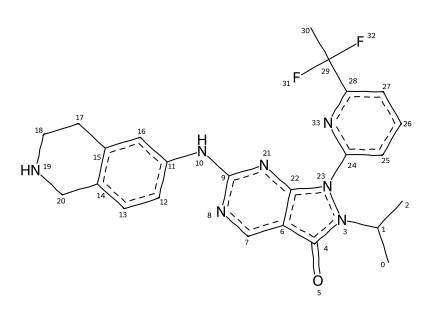 CC(C)n1c(=O)c2cnc(Nc3ccc4c(c3)CCNC4)nc2n1-c1cccc(C(C)(F)F)n1